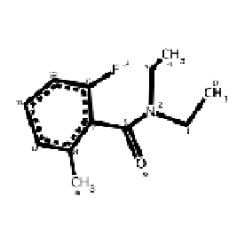 CCN(CC)C(=O)c1c(C)cccc1F